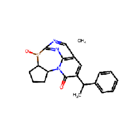 C.CC(c1ccccc1)c1cc2cnc3nc2n(c1=O)C1CCCC1[S+]3[O-]